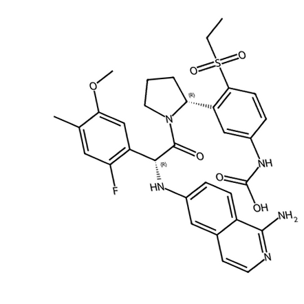 CCS(=O)(=O)c1ccc(NC(=O)O)cc1[C@H]1CCCN1C(=O)[C@H](Nc1ccc2c(N)nccc2c1)c1cc(OC)c(C)cc1F